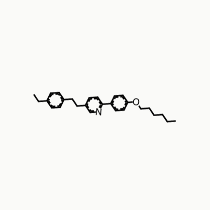 CCCCCCOc1ccc(-c2ccc(CCc3ccc(CC)cc3)cn2)cc1